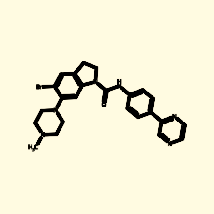 CN1CCN(c2cc3c(cc2Br)CCN3C(=O)Nc2ccc(-c3cnccn3)cc2)CC1